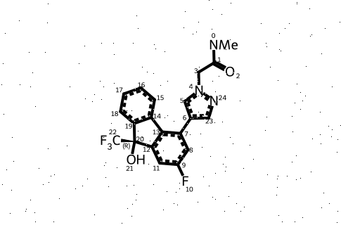 CNC(=O)Cn1cc(-c2cc(F)cc3c2-c2ccccc2[C@]3(O)C(F)(F)F)cn1